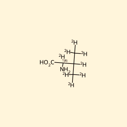 [2H]C([2H])([2H])C([2H])(C([2H])([2H])[2H])[C@@]([2H])(N)C(=O)O